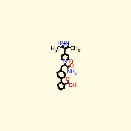 Cc1n[nH]c(C)c1-c1ccn(C(Cc2ccc(-c3ccccc3C(=O)O)cc2)C(N)=O)c(=O)c1